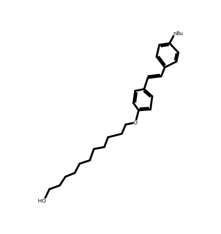 CCCCc1ccc(/C=C/c2ccc(OCCCCCCCCCCCO)cc2)cc1